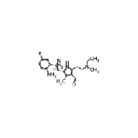 CCN(C)CCc1[nH]c(/C=C(\N)c2cc(F)ccc2N)c(C)c1C=O